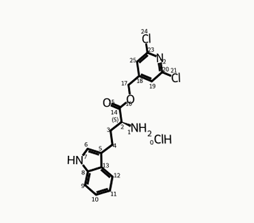 Cl.N[C@@H](CCc1c[nH]c2ccccc12)C(=O)OCc1cc(Cl)nc(Cl)c1